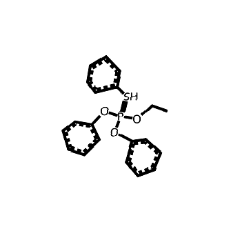 CCOP(Oc1ccccc1)(Oc1ccccc1)=[SH]c1ccccc1